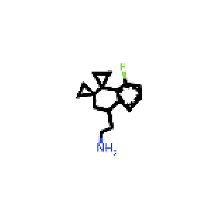 NCCC1CC2(CC2)C2(CC2)c2c(F)cccc21